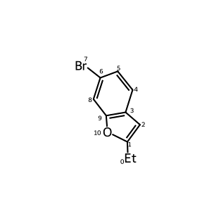 [CH2]Cc1cc2ccc(Br)cc2o1